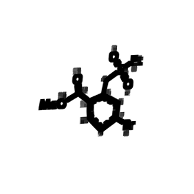 CCS(=O)(=O)Cc1cc(Br)ccc1C(=O)OC